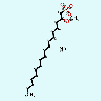 CCCCCCCCCCCCCCCCC(CS(=O)(=O)[O-])OC.[Na+]